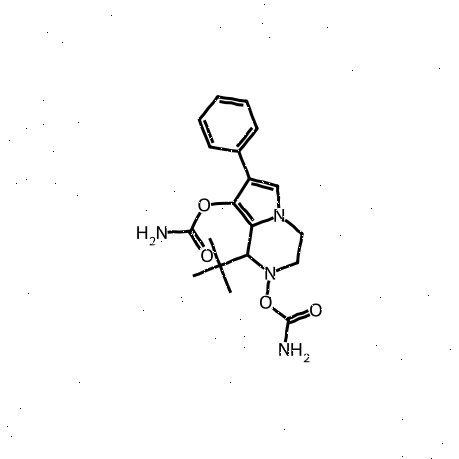 CC(C)(C)C1c2c(OC(N)=O)c(-c3ccccc3)cn2CCN1OC(N)=O